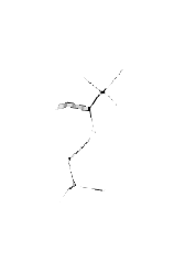 O=C(NCC(O)O)C(F)(F)F